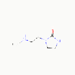 CNCCN1CCNC1=O